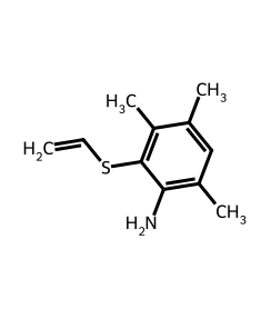 C=CSc1c(C)c(C)cc(C)c1N